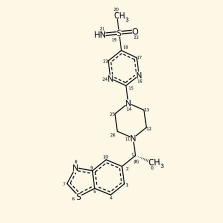 C[C@H](c1ccc2scnc2c1)N1CCN(c2ncc(S(C)(=N)=O)cn2)CC1